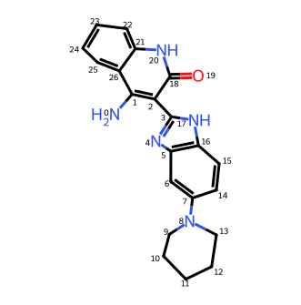 Nc1c(-c2nc3cc(N4CCCCC4)ccc3[nH]2)c(=O)[nH]c2ccccc12